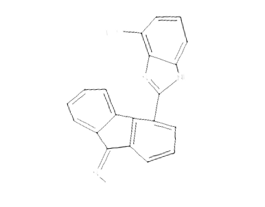 Cc1cccc2[nH]c(-c3cccc4c3-c3ccccc3/C4=N/O)nc12